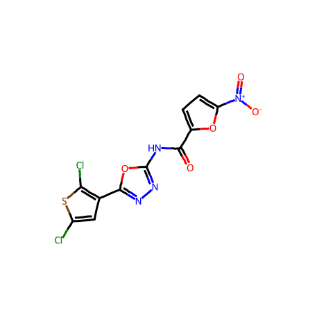 O=C(Nc1nnc(-c2cc(Cl)sc2Cl)o1)c1ccc([N+](=O)[O-])o1